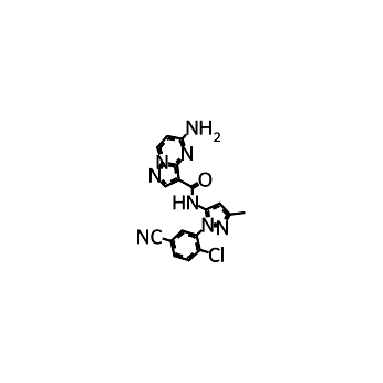 Cc1cc(NC(=O)c2cnn3ccc(N)nc23)n(-c2cc(C#N)ccc2Cl)n1